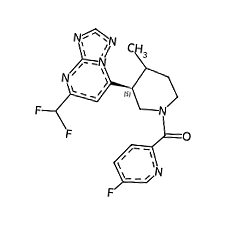 CC1CCN(C(=O)c2ccc(F)cn2)C[C@H]1c1cc(C(F)F)nc2ncnn12